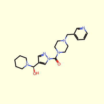 O=C(N1CCN(Cc2cccnc2)CC1)n1cc([C@@H](O)N2CCCCC2)cn1